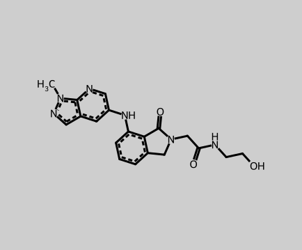 Cn1ncc2cc(Nc3cccc4c3C(=O)N(CC(=O)NCCO)C4)cnc21